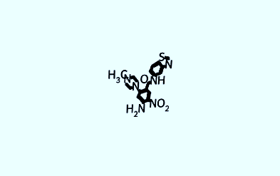 CN1CCN(c2cc(N)c([N+](=O)[O-])cc2C(=O)Nc2ccc3scnc3c2)CC1